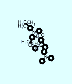 CC(C)(C)c1ccc(N2c3ccc(C(C)(C)C)cc3B3c4cc5c(cc4Oc4cccc2c43)c2ccc3cc(N(c4ccccc4)c4ccccc4)ccc3c2n5-c2ccccc2)cc1